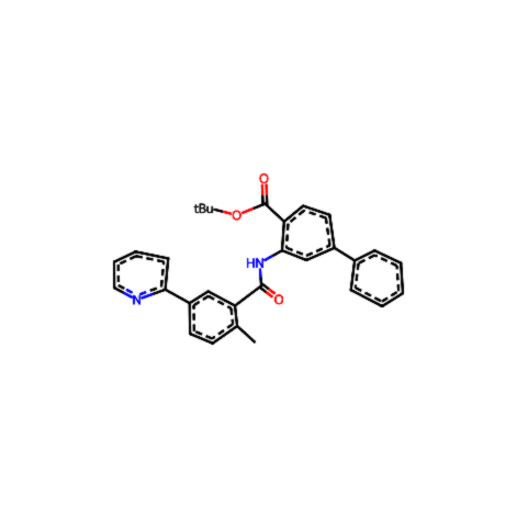 Cc1ccc(-c2ccccn2)cc1C(=O)Nc1cc(-c2ccccc2)ccc1C(=O)OC(C)(C)C